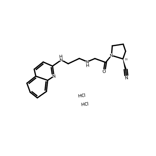 Cl.Cl.N#C[C@@H]1CCCN1C(=O)CNCCNc1ccc2ccccc2n1